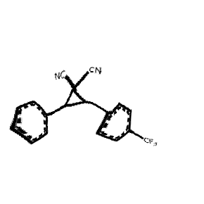 N#CC1(C#N)C(c2ccccc2)C1c1ccc(C(F)(F)F)cc1